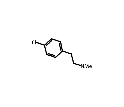 CNCCc1ccc(Cl)cc1